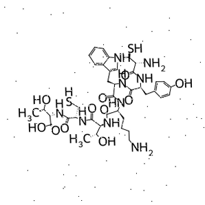 C[C@@H](O)[C@H](NC(=O)[C@H](CS)NC(=O)[C@@H](NC(=O)[C@H](CCCCN)NC(=O)[C@@H](Cc1c[nH]c2ccccc12)NC(=O)[C@H](Cc1ccc(O)cc1)NC(=O)[C@@H](N)CS)[C@@H](C)O)C(=O)O